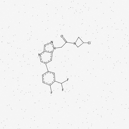 O=C(Cn1ncc2ncc(-c3ccc(F)c(C(F)F)c3)cc21)N1CC(Cl)C1